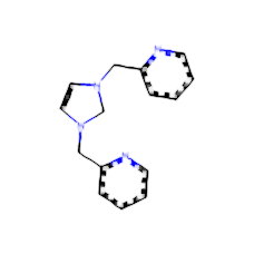 C1=CN(Cc2ccccn2)CN1Cc1ccccn1